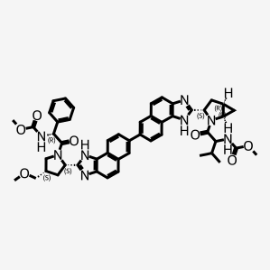 COC[C@H]1C[C@@H](c2nc3ccc4cc(-c5ccc6c(ccc7nc([C@@H]8C[C@H]9C[C@H]9N8C(=O)C(NC(=O)OC)C(C)C)[nH]c76)c5)ccc4c3[nH]2)N(C(=O)[C@H](NC(=O)OC)c2ccccc2)C1